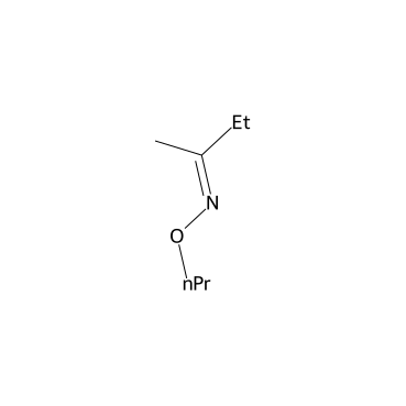 CCCON=C(C)CC